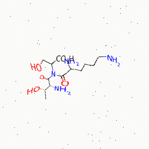 CC(O)C(N)C(=O)N(C(=O)C(N)CCCCN)C(CO)C(=O)O